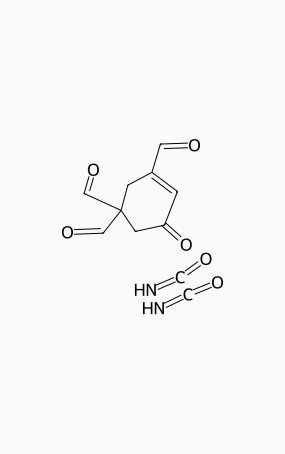 N=C=O.N=C=O.O=CC1=CC(=O)CC(C=O)(C=O)C1